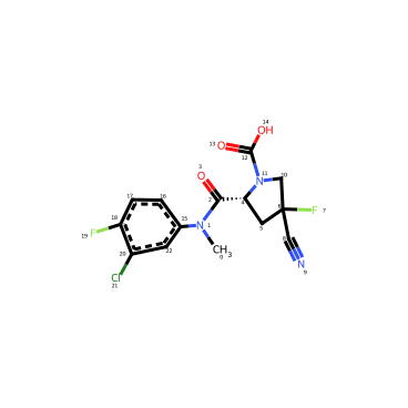 CN(C(=O)[C@H]1CC(F)(C#N)CN1C(=O)O)c1ccc(F)c(Cl)c1